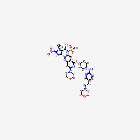 C=[N+]([O-])c1ncc(C(C)N(c2cnc3cc(N4CCOCC4)nc(O[C@H]4CC[C@@H](Nc5ncc(CCN6CCOCC6)cn5)CC4)c3c2)S(C)(=O)=O)n1C